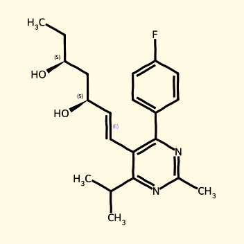 CC[C@H](O)C[C@H](O)/C=C/c1c(-c2ccc(F)cc2)nc(C)nc1C(C)C